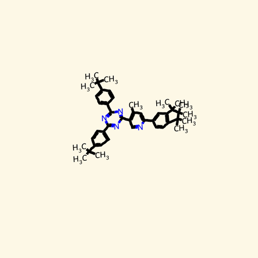 Cc1cc(-c2ccc3c(c2)C(C)(C)C(C)(C)C3(C)C)ncc1-c1nc(-c2ccc(C(C)(C)C)cc2)nc(-c2ccc(C(C)(C)C)cc2)n1